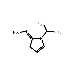 C/N=C1\CC=CN1C(C)C